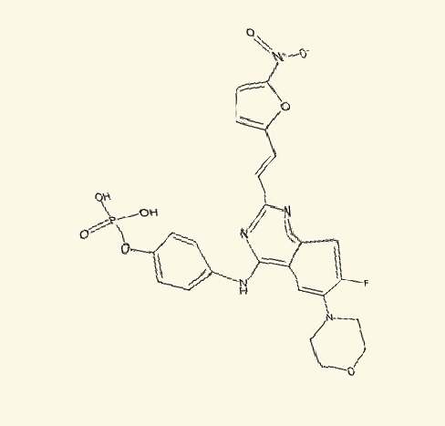 O=[N+]([O-])c1ccc(C=Cc2nc(Nc3ccc(OP(=O)(O)O)cc3)c3cc(N4CCOCC4)c(F)cc3n2)o1